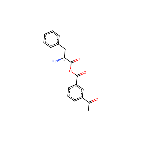 CC(=O)c1cccc(C(=O)OC(=O)[C@@H](N)Cc2ccccc2)c1